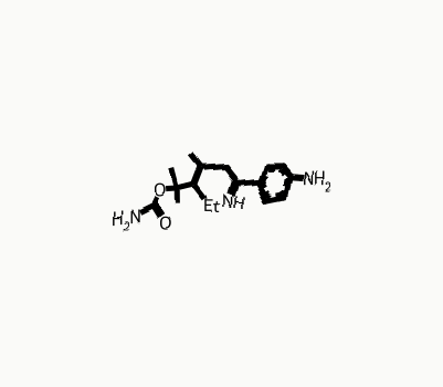 CCC(C(C)CC(=N)c1ccc(N)cc1)C(C)(C)OC(N)=O